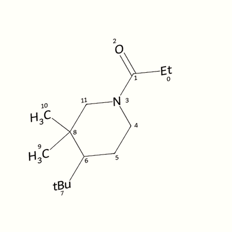 CCC(=O)N1CCC(C(C)(C)C)C(C)(C)C1